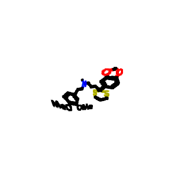 COc1ccc(CCN(C)CCCC2(c3ccc4c(c3)OCO4)SCCCS2)cc1OC